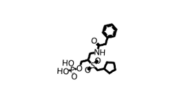 O=C(Cc1ccccc1)NCC(COP(=O)(O)O)S(=O)(=O)CC1CCCC1